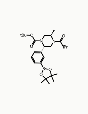 CC(C)C(=O)N1C[C@H](c2cccc(B3OC(C)(C)C(C)(C)O3)c2)N(C(=O)OC(C)(C)C)C[C@H]1C